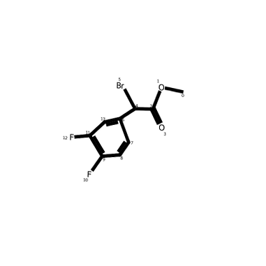 COC(=O)C(Br)c1ccc(F)c(F)c1